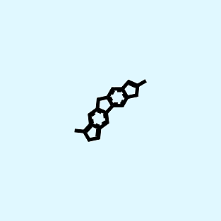 CC1=Cc2cc3c(cc2C1)-c1cc2c(cc1C3)=C(C)CC=2